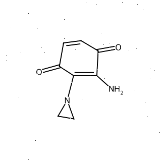 NC1=C(N2CC2)C(=O)C=CC1=O